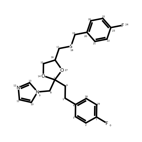 Fc1ccc(CCC2(Cn3ccnc3)OCC(CSCc3ccc(F)cc3)O2)cc1